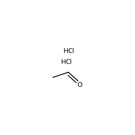 CC=O.Cl.Cl